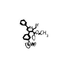 CCOC(=O)c1c(-c2cccc([N+](=O)[O-])c2)cc(-c2ccccc2)nc1CBr